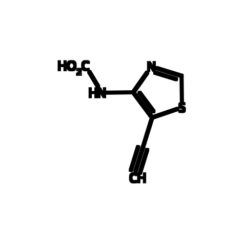 C#Cc1scnc1NC(=O)O